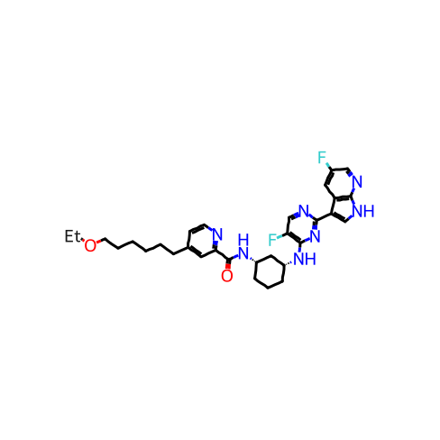 CCOCCCCCCc1ccnc(C(=O)N[C@H]2CCC[C@@H](Nc3nc(-c4c[nH]c5ncc(F)cc45)ncc3F)C2)c1